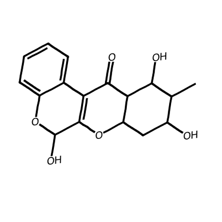 CC1C(O)CC2OC3=C(C(=O)C2C1O)c1ccccc1OC3O